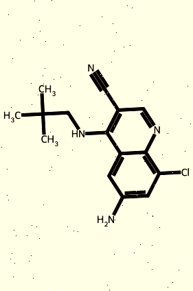 CC(C)(C)CNc1c(C#N)cnc2c(Cl)cc(N)cc12